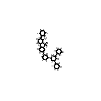 CC1(C)c2cc(-c3cccc(-c4cc(-c5ccccc5)cc(-c5ccccc5)n4)c3)ccc2-c2ccc3c(oc4ccccc43)c21